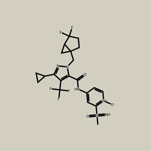 CS(=N)(=O)c1cc(NC(=O)c2c(C(F)(F)F)c(C3CC3)nn2CC23CCC(F)(F)C2C3)cc[n+]1[O-]